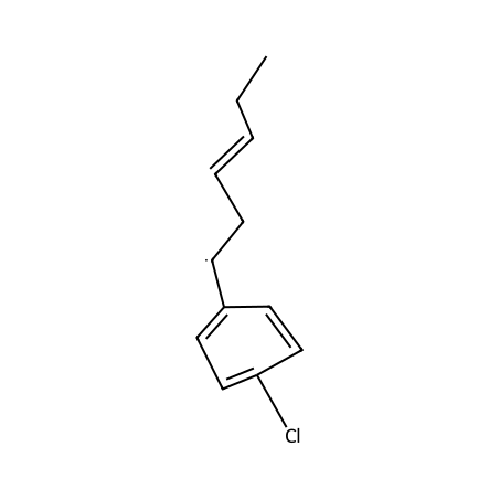 CC/C=C/C[CH]c1ccc(Cl)cc1